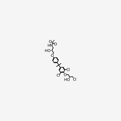 CC(C)(c1ccc(OC[C@H](O)CNS(C)(=O)=O)cc1)c1cc(Cl)c(OC[C@H](O)CCl)c(Cl)c1